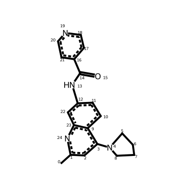 Cc1cc(N2CCCC2)c2ccc(NC(=O)c3ccncc3)cc2n1